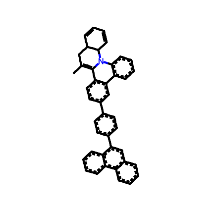 CC1=C2c3ccc(-c4ccc(-c5cc6ccccc6c6ccccc56)cc4)cc3-c3ccccc3N2C2C=CC=CC2C1